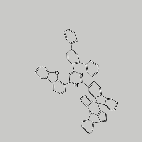 c1ccc(-c2ccc(-c3cc(-c4cccc5c4oc4ccccc45)nc(-c4ccc5c(c4)C4(c6ccccc6-5)c5ccccc5-n5c6ccccc6c6cccc4c65)n3)c(-c3ccccc3)c2)cc1